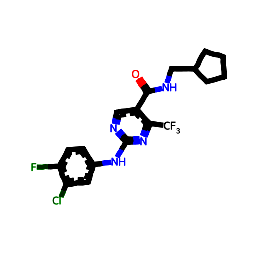 O=C(NCC1CCCC1)c1cnc(Nc2ccc(F)c(Cl)c2)nc1C(F)(F)F